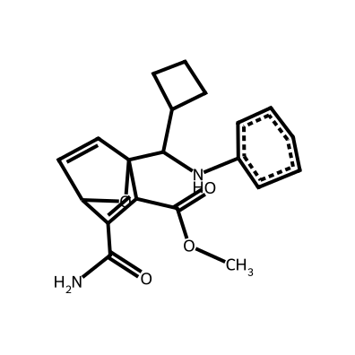 COC(=O)C1=C(C(N)=O)C2C=CC1(C(Nc1ccccc1)C1CCC1)O2